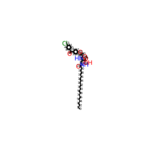 CCC=CCC=CCC=CCC=CCC=CCC=CCCC(=O)NCC(NC(=O)C(C)(C)Oc1ccc(C(=O)c2ccc(Cl)cc2)cc1)C(=O)O